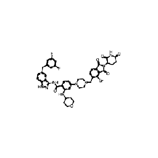 O=C1CCC(N2C(=O)c3ccc(CN4CCN(c5ccc(C(=O)Nc6n[nH]c7ccc(Cc8cc(F)cc(F)c8)cc67)c(NC6CCOCC6)c5)CC4)c(Br)c3C2=O)C(=O)N1